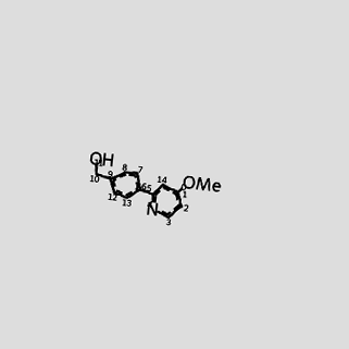 COc1ccnc(-c2ccc(CO)cc2)c1